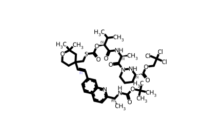 CC(C)[C@H](OC(=O)SCC1(/C=C/c2ccc3ccc([C@@H](C)NC(=O)OC(C)(C)C)nc3c2)CCOC(C)(C)C1)C(=O)N[C@@H](C)C(=O)N1CCC[C@@H](C(=O)OCC(Cl)(Cl)Cl)N1